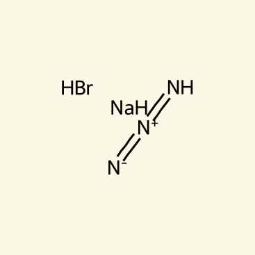 Br.[N-]=[N+]=N.[NaH]